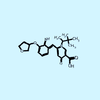 CC(n1cc(C(=O)O)c(=O)cc1/C=C1\C=CC=C(OC2CCOC2)C1=N)C(C)(C)C